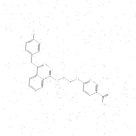 O=C(O)c1ccc(NCCNc2nnc(Cc3ccc(F)cc3)c3ccccc23)nc1